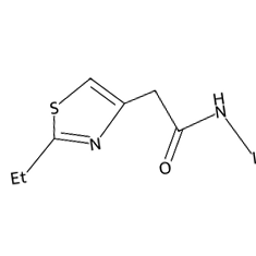 CCc1nc(CC(=O)NI)cs1